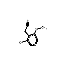 COc1cncc(Cl)c1CC#N